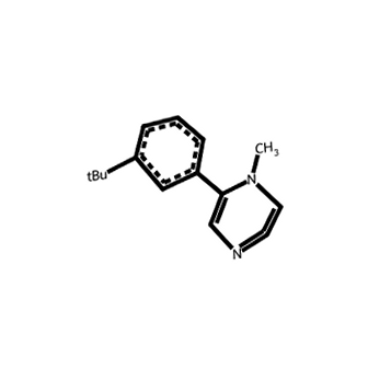 CN1C=C=NC=C1c1cccc(C(C)(C)C)c1